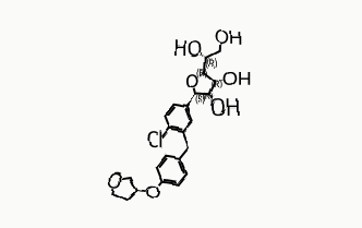 OC[C@@H](O)[C@H]1O[C@H](c2ccc(Cl)c(Cc3ccc(OC4CCOC4)cc3)c2)[C@H](O)[C@H]1O